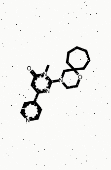 Cn1c(N2CCOC3(CCCCCC3)C2)nc(-c2ccncc2)cc1=O